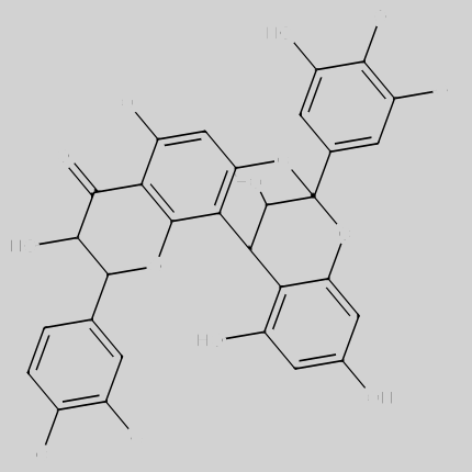 O=C1c2c(O)cc3c(c2OC(c2ccc(O)c(O)c2)C1O)C1c2c(O)cc(O)cc2OC(c2cc(O)c(O)c(O)c2)(O3)C1O